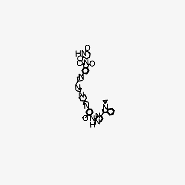 COc1cc(N2CC3(CCN(C4CN(CC5CN(c6ccc7c(c6)C(=O)N(C6CCC(=O)NC6=O)C7=O)C5)C4)CC3)C2)ccc1Nc1nccc(-c2cn(C3CC3)c3ccccc23)n1